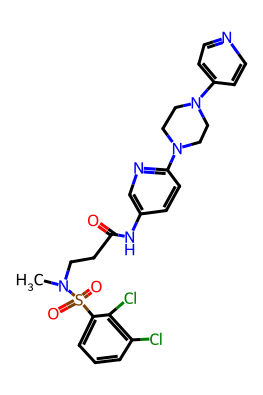 CN(CCC(=O)Nc1ccc(N2CCN(c3ccncc3)CC2)nc1)S(=O)(=O)c1cccc(Cl)c1Cl